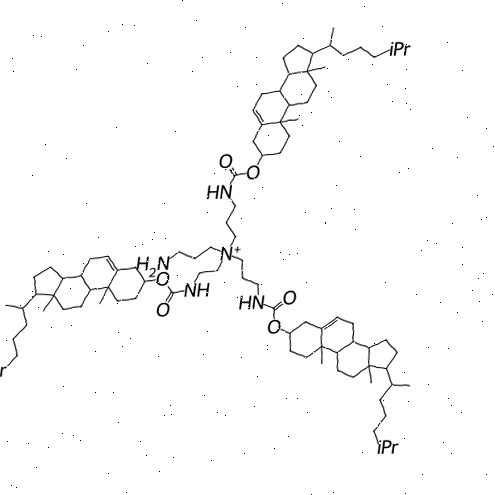 CC(C)CCCC(C)C1CCC2C3CC=C4CC(OC(=O)NCCC[N+](CCCN)(CCCNC(=O)OC5CCC6(C)C(=CCC7C6CCC6(C)C(C(C)CCCC(C)C)CCC76)C5)CCNC(=O)OC5CCC6(C)C(=CCC7C6CCC6(C)C(C(C)CCCC(C)C)CCC76)C5)CCC4(C)C3CCC12C